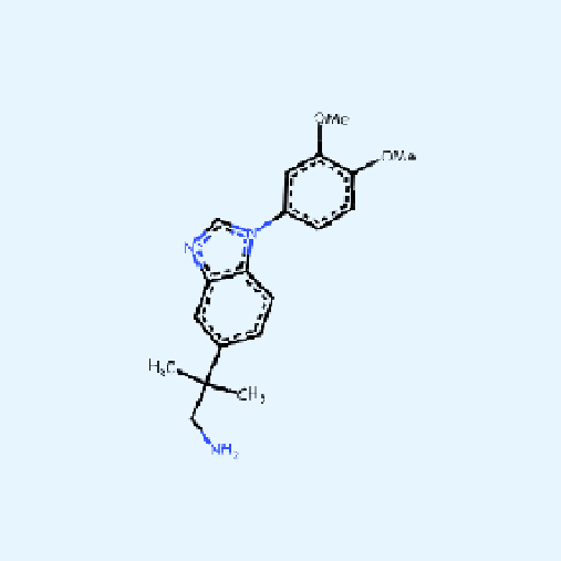 COc1ccc(-n2cnc3cc(C(C)(C)CN)ccc32)cc1OC